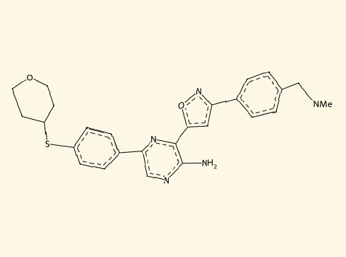 CNCc1ccc(-c2cc(-c3nc(-c4ccc(SC5CCOCC5)cc4)cnc3N)on2)cc1